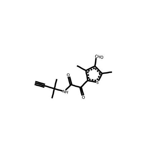 C#CC(C)(C)NC(=O)C(=O)c1sc(C)c(C=O)c1C